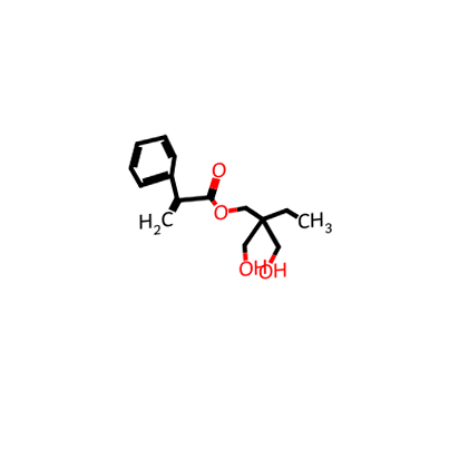 C=C(C(=O)OCC(CC)(CO)CO)c1ccccc1